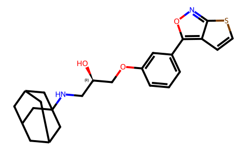 O[C@H](CNC12CC3CC(CC(C3)C1)C2)COc1cccc(-c2onc3sccc23)c1